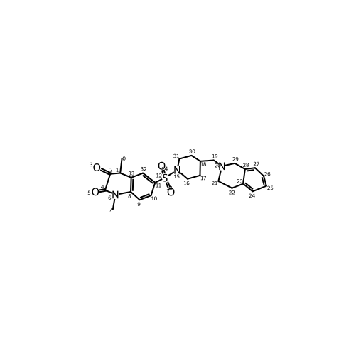 CC1C(=O)C(=O)N(C)c2ccc(S(=O)(=O)N3CCC(CN4CCc5ccccc5C4)CC3)cc21